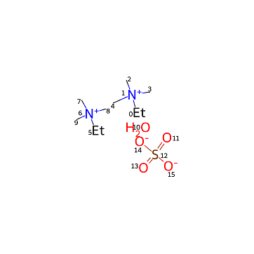 CC[N+](C)(C)C.CC[N+](C)(C)C.O.O=S(=O)([O-])[O-]